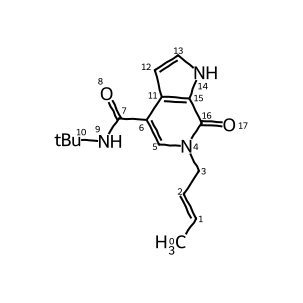 C/C=C/Cn1cc(C(=O)NC(C)(C)C)c2cc[nH]c2c1=O